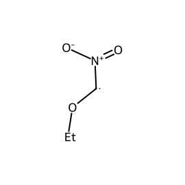 CCO[CH][N+](=O)[O-]